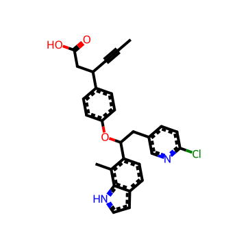 CC#CC(CC(=O)O)c1ccc(OC(Cc2ccc(Cl)nc2)c2ccc3cc[nH]c3c2C)cc1